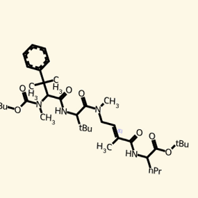 CCCC(NC(=O)/C(C)=C/CN(C)C(=O)C(NC(=O)C(N(C)C(=O)OC(C)(C)C)C(C)(C)c1ccccc1)C(C)(C)C)C(=O)OC(C)(C)C